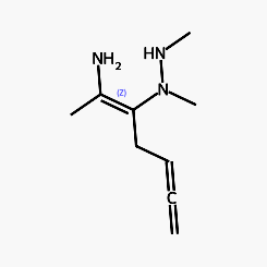 C=C=CC/C(=C(\C)N)N(C)NC